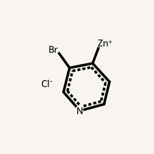 [Cl-].[Zn+][c]1ccncc1Br